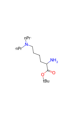 [CH2][CH][CH]N([CH][CH][CH2])CCCCC(N)C(=O)OC(C)(C)C